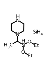 CCO[SiH](OCC)C(C)N1CCNCC1.[SiH4]